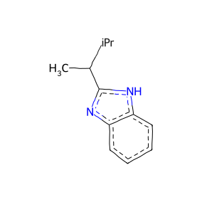 CC(C)C(C)c1nc2ccccc2[nH]1